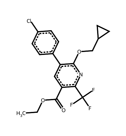 CCOC(=O)c1cc(-c2ccc(Cl)cc2)c(OCC2CC2)nc1C(F)(F)F